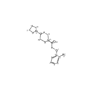 CC(=O)c1ccccc1OCC(=O)N1CCC(N2CCCC2)CC1